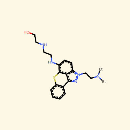 CCN(CC)CCn1nc2c3c(c(NCCNCCO)ccc31)Sc1ccccc1-2